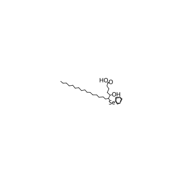 CCCCCCCCCCCCCCCCC([Se]c1ccccc1)C(O)CCCC(=O)O